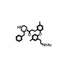 CC(=O)NCCc1cc(C)ccc1Oc1ccc(C)cc1CCC(=O)N1CCNCC1Cc1ccccc1